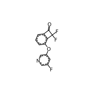 O=C1c2cccc(Oc3cncc(F)c3)c2C1(F)F